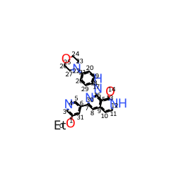 CCOc1cncc(-c2cc3cc[nH]c(=O)c3c(Nc3ccc(N4CCOCC4)cc3)n2)c1